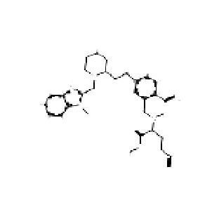 C=CCCC(C(=O)NC)N(C)Cc1cc(CCC2CCCCN2Cc2nc3ccccc3n2C)ccc1C=C